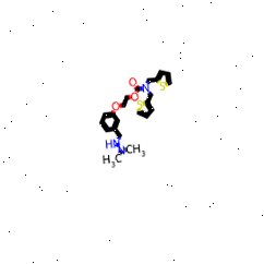 CN(C)NCc1cccc(OCCOC(=O)N(Cc2cccs2)Cc2cccs2)c1